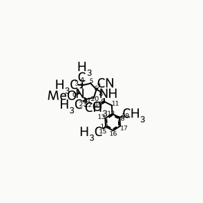 CON1C(C)(C)CC(C#N)(NC(=O)Cc2cc(C)ccc2C)CC1(C)C